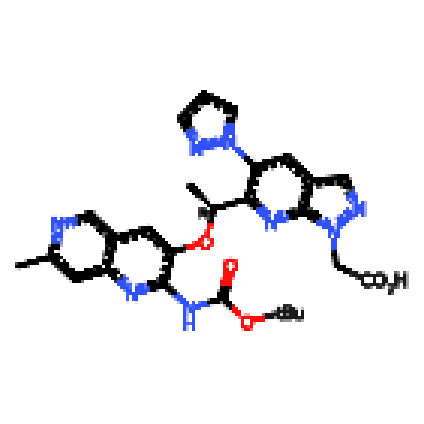 Cc1cc2nc(NC(=O)OC(C)(C)C)c(O[C@@H](C)c3nc4c(cnn4CC(=O)O)cc3-n3cccn3)cc2cn1